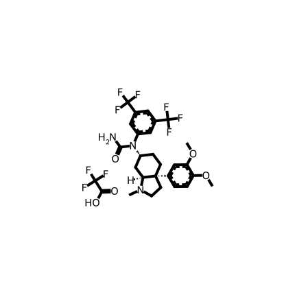 COc1ccc([C@@]23CC[C@@H](N(C(N)=O)c4cc(C(F)(F)F)cc(C(F)(F)F)c4)C[C@@H]2N(C)CC3)cc1OC.O=C(O)C(F)(F)F